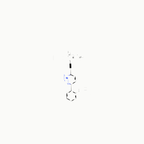 C[Si](C)(C)C#Cc1ccc(-c2ccccc2C(F)(F)F)nn1